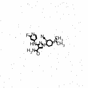 CN(C)[C@H]1CC[C@H](n2cc(C(N)=O)c(Nc3ccnc(F)c3)n2)[C@@H](C#N)C1